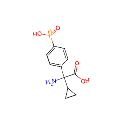 NC(C(=O)O)(c1ccc([PH](=O)O)cc1)C1CC1